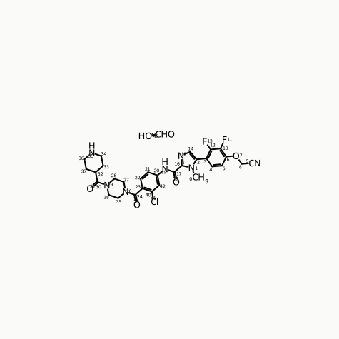 Cn1c(-c2ccc(OCC#N)c(F)c2F)cnc1C(=O)Nc1ccc(C(=O)N2CCN(C(=O)C3CCNCC3)CC2)c(Cl)c1.O=CO